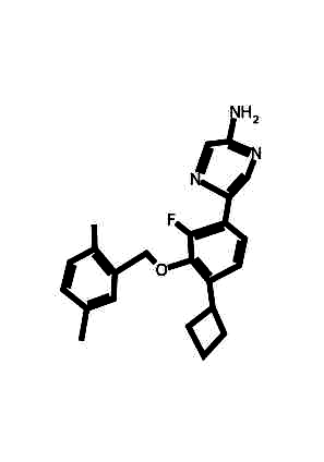 Cc1ccc(C)c(COc2c(C3CCC3)ccc(-c3cnc(N)cn3)c2F)c1